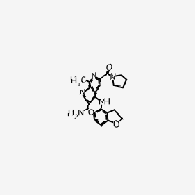 Cc1nc(C(=O)N2CCCC2)cc2c(Nc3cccc4c3CCO4)c(C(N)=O)cnc12